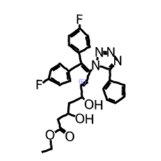 CCOC(=O)CC(O)CC(O)/C=C/C(=C(c1ccc(F)cc1)c1ccc(F)cc1)n1nnnc1-c1ccccc1